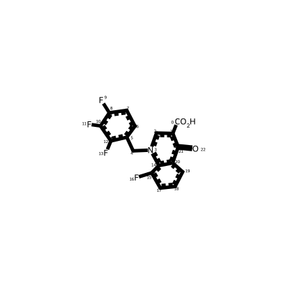 O=C(O)c1cn(Cc2ccc(F)c(F)c2F)c2c(F)cccc2c1=O